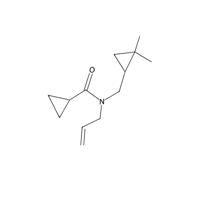 C=CCN(CC1CC1(C)C)C(=O)C1CC1